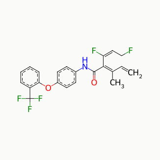 C=C/C(C)=C(C(=O)Nc1ccc(Oc2ccccc2C(F)(F)F)cc1)\C(F)=C/CF